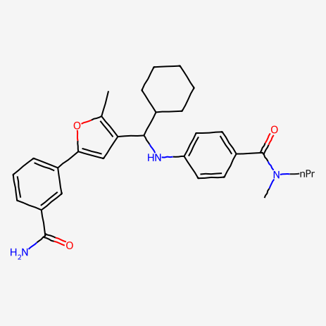 CCCN(C)C(=O)c1ccc(NC(c2cc(-c3cccc(C(N)=O)c3)oc2C)C2CCCCC2)cc1